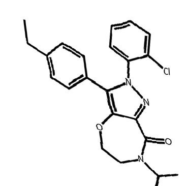 CCc1ccc(-c2c3c(nn2-c2ccccc2Cl)C(=O)N(C(C)C)CCO3)cc1